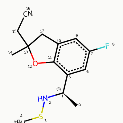 C[C@@H](NSC(C)(C)C)c1cc(F)cc2c1OC(C)(CC#N)C2